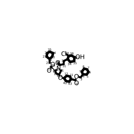 O=C(OCc1ccccc1)c1ccc(O[C@H]2C[C@@H](C(=O)OCc3ccccc3)N(C(=O)CCc3ccc(O)cc3Cl)C2)cc1